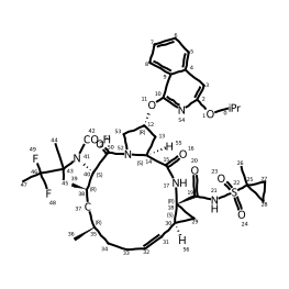 CC(C)Oc1cc2ccccc2c(O[C@@H]2C[C@H]3C(=O)N[C@]4(C(=O)NS(=O)(=O)C5(C)CC5)C[C@H]4C=CCC[C@@H](C)C[C@@H](C)[C@H](N(C(=O)O)C(C)(C)C(C)(F)F)C(=O)N3C2)n1